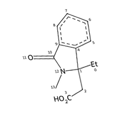 CCC1(CC(=O)O)c2ccccc2C(=O)N1C